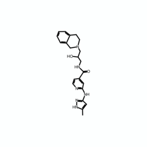 Cc1cc(Nc2cc(C(=O)NCC(O)CN3CCc4ccccc4C3)ccn2)n[nH]1